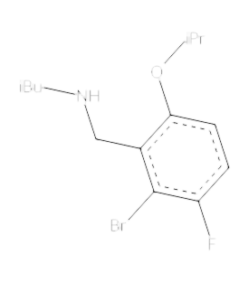 CCC(C)NCc1c(OC(C)C)ccc(F)c1Br